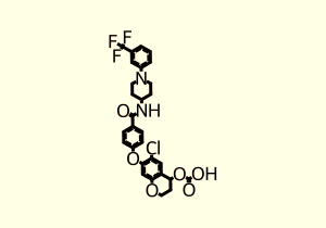 O=C(O)OC1CCOc2cc(Oc3ccc(C(=O)NC4CCN(c5cccc(C(F)(F)F)c5)CC4)cc3)c(Cl)cc21